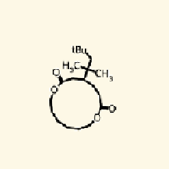 CC(C)(C)CC(C)(C)C1CCC(=O)OCCCCCCOC(=O)C1